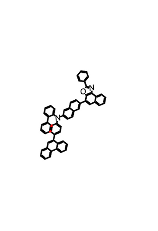 c1ccc(-c2nc3c(o2)c(-c2ccc4cc(N(c5ccc(-c6cc7ccccc7c7ccccc67)cc5)c5ccccc5-c5ccccc5)ccc4c2)cc2ccccc23)cc1